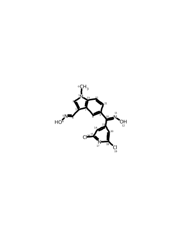 Cn1cc(C=NO)c2cc(C(=NO)c3cc(Cl)nc(Cl)c3)ccc21